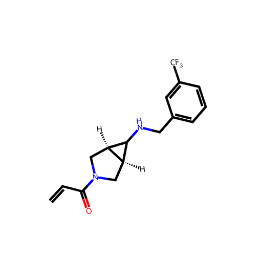 C=CC(=O)N1C[C@@H]2C(NCc3cccc(C(F)(F)F)c3)[C@@H]2C1